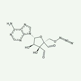 [N-]=[N+]=NOC[C@@]1(C=O)O[C@@H](n2cnc3c(N)ncnc32)[C@H](O)[C@@]1(O)C=O